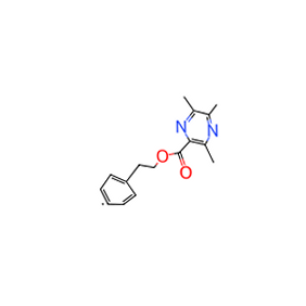 Cc1nc(C)c(C(=O)OCCc2cc[c]cc2)nc1C